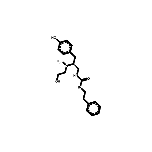 CN(CCO)[C@H](CNC(=O)NCCc1ccccc1)Cc1ccc(O)cc1